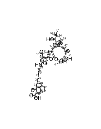 CC[C@H]1OC(=O)[C@H](C)[C@@H](O[C@H]2C[C@@](C)(OC)[C@@H](OC(=O)NCCOCCCc3cc4c5c(c3)c(=O)c(C(=O)O)cn5CC4)[C@H](C)O2)[C@H](C)[C@@H](OC2O[C@H](C)C[C@H](N(C)C)[C@H]2O)[C@](C)(OC)C[C@@H](C)C(=O)[C@H](C)[C@@H](O)[C@]1(C)O